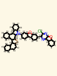 Clc1nc2oc3ccccc3c2nc1-c1ccc2c(c1)oc1cc(-n3c4ccccc4c4c5ccccc5c5c(sc6ccc7ccccc7c65)c43)ccc12